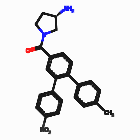 Cc1ccc(-c2ccc(C(=O)N3CC[C@H](N)C3)cc2-c2ccc([N+](=O)[O-])cc2)cc1